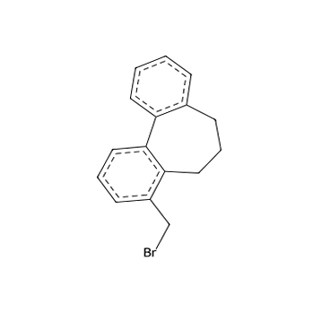 BrCc1cccc2c1CCCc1ccccc1-2